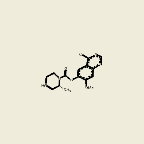 COc1cc2ncnc(Cl)c2cc1OC(=O)N1CCNC[C@H]1C